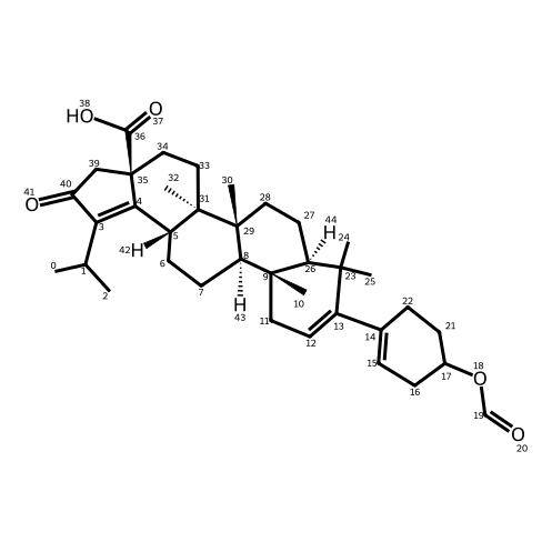 CC(C)C1=C2[C@H]3CC[C@@H]4[C@@]5(C)CC=C(C6=CCC(OC=O)CC6)C(C)(C)[C@@H]5CC[C@@]4(C)[C@]3(C)CC[C@@]2(C(=O)O)CC1=O